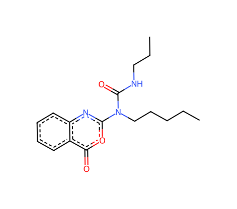 CCCCCN(C(=O)NCCC)c1nc2ccccc2c(=O)o1